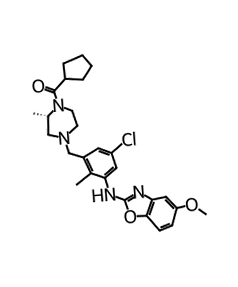 COc1ccc2oc(Nc3cc(Cl)cc(CN4CCN(C(=O)C5CCCC5)[C@@H](C)C4)c3C)nc2c1